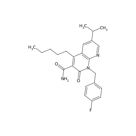 CCCCCc1c(C(N)=O)c(=O)n(Cc2ccc(F)cc2)c2ncc(C(C)C)cc12